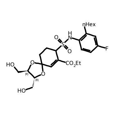 CCCCCCc1cc(F)ccc1NS(=O)(=O)C1CCC2(C=C1C(=O)OCC)O[C@H](CO)[C@@H](CO)O2